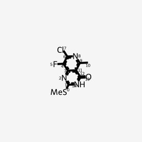 CSc1nc2c(F)c(Cl)nc(C)c2c(=O)[nH]1